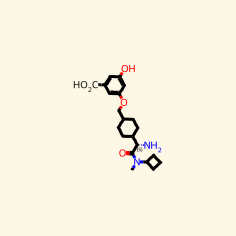 CN(C(=O)[C@@H](N)C1CCC(COc2cc(O)cc(C(=O)O)c2)CC1)C1CCC1